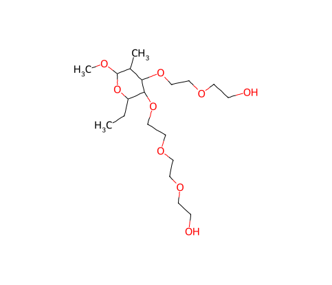 CCC1OC(OC)C(C)C(OCCOCCO)C1OCCOCCOCCO